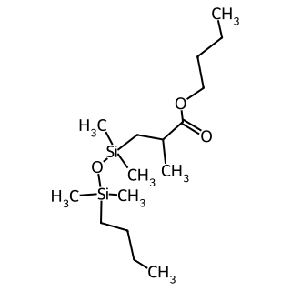 CCCCOC(=O)C(C)C[Si](C)(C)O[Si](C)(C)CCCC